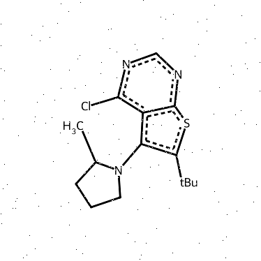 CC1CCCN1c1c(C(C)(C)C)sc2ncnc(Cl)c12